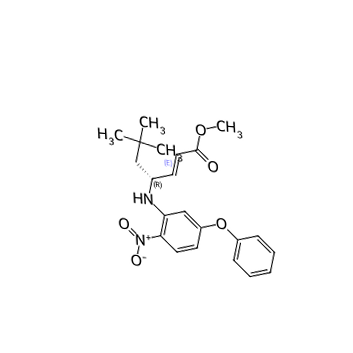 COC(=O)/C=C/[C@@H](CC(C)(C)C)Nc1cc(Oc2ccccc2)ccc1[N+](=O)[O-]